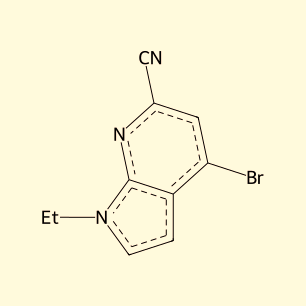 CCn1ccc2c(Br)cc(C#N)nc21